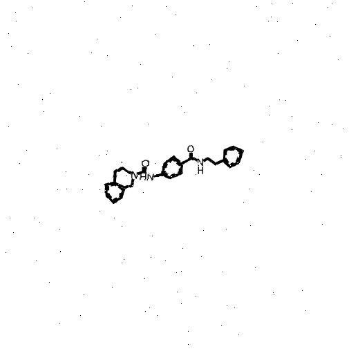 O=C(NCCc1ccccc1)c1ccc(NC(=O)N2CCc3ccccc3C2)cc1